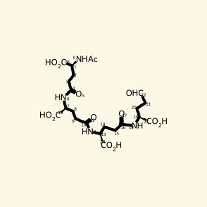 CC(=O)N[C@@H](CCC(=O)N[C@@H](CCC(=O)N[C@@H](CCC(=O)N[C@@H](CCC=O)C(=O)O)C(=O)O)C(=O)O)C(=O)O